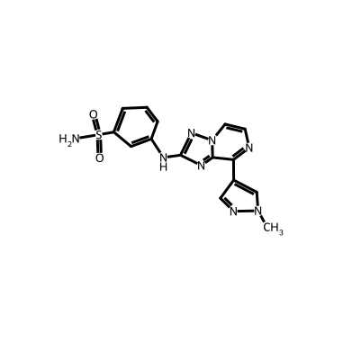 Cn1cc(-c2nccn3nc(Nc4cccc(S(N)(=O)=O)c4)nc23)cn1